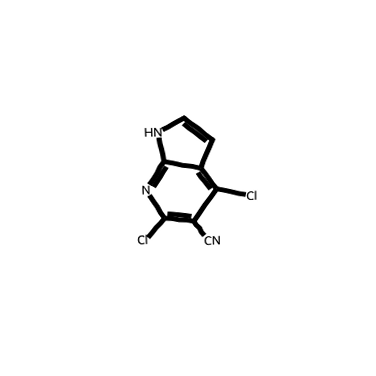 N#Cc1c(Cl)nc2[nH]ccc2c1Cl